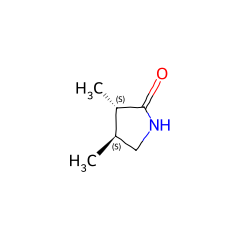 C[C@@H]1CNC(=O)[C@H]1C